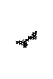 Clc1ccc(C(CCNCCCNc2ccnc3cc(Cl)ccc23)c2ccccn2)cc1